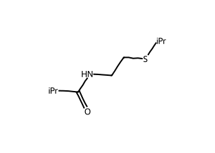 CC(C)SCCNC(=O)C(C)C